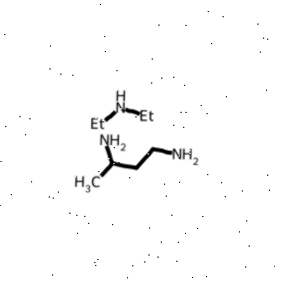 CC(N)CCN.CCNCC